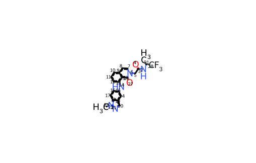 C[C@H](NC(=O)Cn1ccc2cccc(Nc3ccc4c(cnn4C)c3)c2c1=O)C(F)(F)F